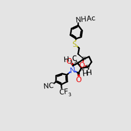 CC(=O)Nc1ccc(SCC[C@@]23CC[C@@H](O2)[C@H]2C(=O)N(c4ccc(C#N)c(C(F)(F)F)c4)C(=O)[C@]23C)cc1